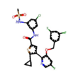 CS(=O)(=O)Nc1cc(Cl)cc(NC(=O)c2cc(-c3ncc(F)cc3OCc3cc(F)cc(F)c3)c(C3CC3)s2)c1